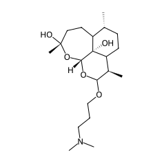 C[C@H]1C(OCCCN(C)C)O[C@@H]2O[C@](C)(O)CCC3[C@H](C)CCC1[C@]32O